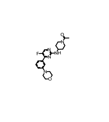 CC(=O)N1CCC(Nc2ncc(F)c(-c3cccc(N4CCOCC4)c3)n2)CC1